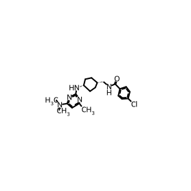 Cc1cc(N(C)C)nc(N[C@H]2CC[C@@H](CNC(=O)c3ccc(Cl)cc3)CC2)n1